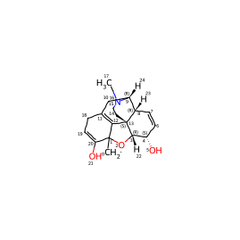 [CH2]C12O[C@H]3[C@@H](O)C=C[C@H]4[C@H]5CC(=C1[C@]43CCN5C)CC=C2O